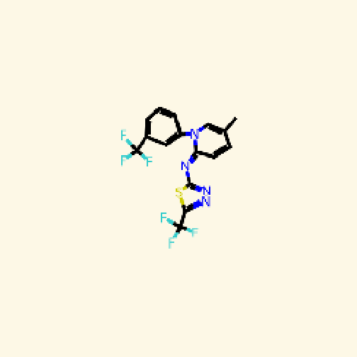 Cc1cc/c(=N\c2nnc(C(F)(F)F)s2)n(-c2cccc(C(F)(F)F)c2)c1